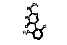 CNC1N=CN(c2c(C)cccc2Cl)C(=O)N1